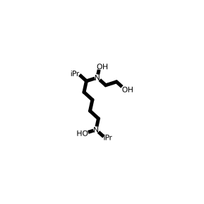 CC(C)C(CCCCN(O)C(C)C)N(O)CCO